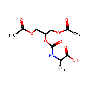 CC(=O)OCC(COC(C)=O)OC(=O)NC(C)C(=O)O